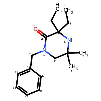 CCC1(CC)NC(C)(C)CN(Cc2ccccc2)C1=O